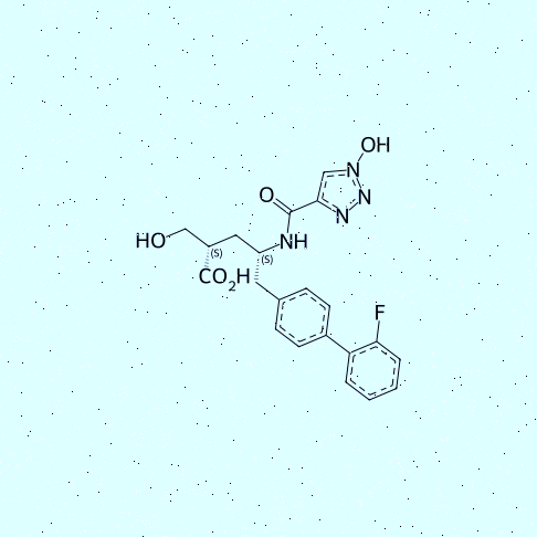 O=C(N[C@H](Cc1ccc(-c2ccccc2F)cc1)C[C@@H](CO)C(=O)O)c1cn(O)nn1